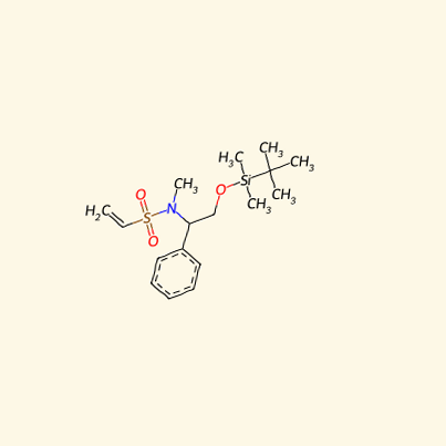 C=CS(=O)(=O)N(C)C(CO[Si](C)(C)C(C)(C)C)c1ccccc1